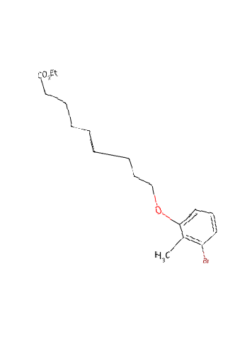 CCOC(=O)CCCCCCCCOc1cccc(Br)c1C